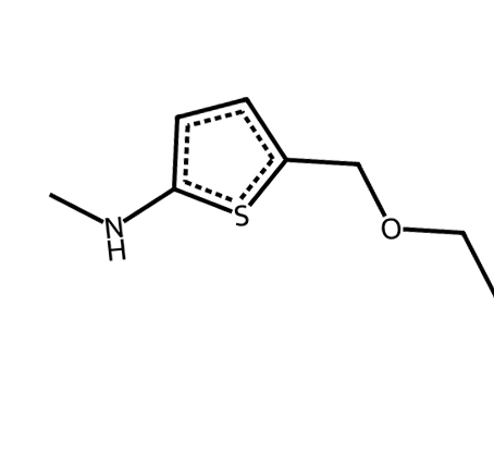 CCOCc1ccc(NC)s1